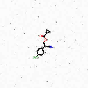 N#C/C(=C\OC(=O)C1CC1)c1ccc(Br)cc1